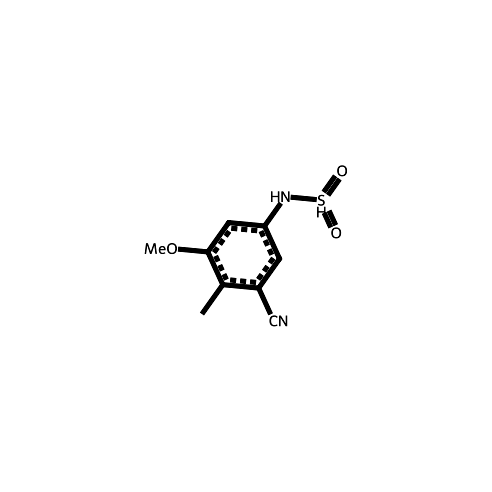 COc1cc(N[SH](=O)=O)cc(C#N)c1C